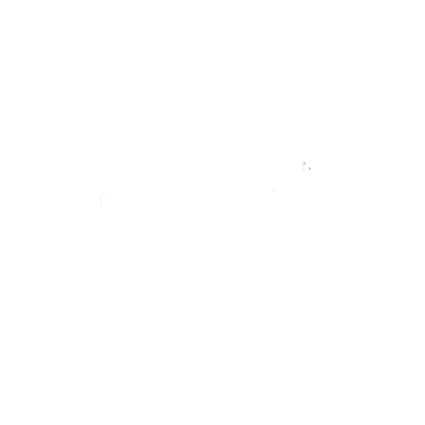 O=NOCc1cccc(Br)c1